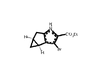 CCOC(=O)c1[nH]c2c(c1Br)[C@H]1C[C@H]1C2